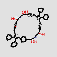 OC1/C=C\C(O)c2ccc(cc2)C2=C(c3ccccc3)C(c3ccccc3)=C(C2)c2ccc(cc2)C(O)/C=C\C(O)c2ccc(cc2)C2=C(c3ccccc3)C(c3ccccc3)=C(C2)c2ccc1cc2